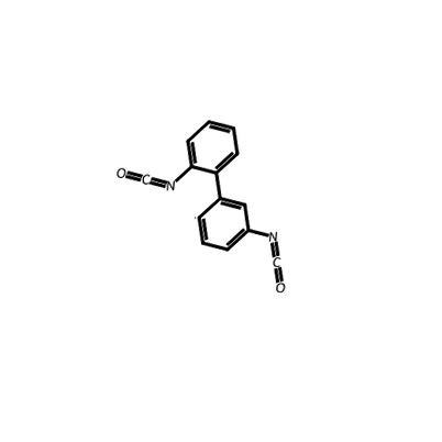 O=C=Nc1cc[c]c(-c2ccccc2N=C=O)c1